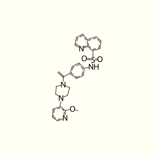 C=C(c1ccc(NS(=O)(=O)c2cccc3cccnc23)cc1)N1CCN(c2cccnc2OC)CC1